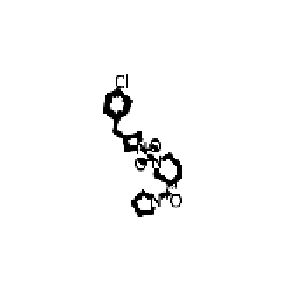 O=C([C@H]1CCCN(S(=O)(=O)N2CC(Cc3ccc(Cl)cc3)C2)C1)N1CCCC1